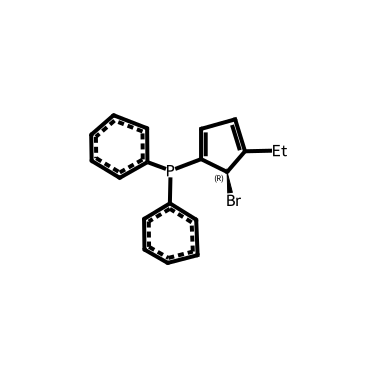 CCC1=CC=C(P(c2ccccc2)c2ccccc2)[C@@H]1Br